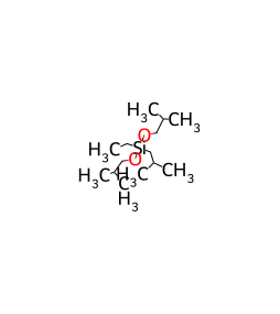 CC[Si](CC(C)C)(OCC(C)C)OCC(C)C